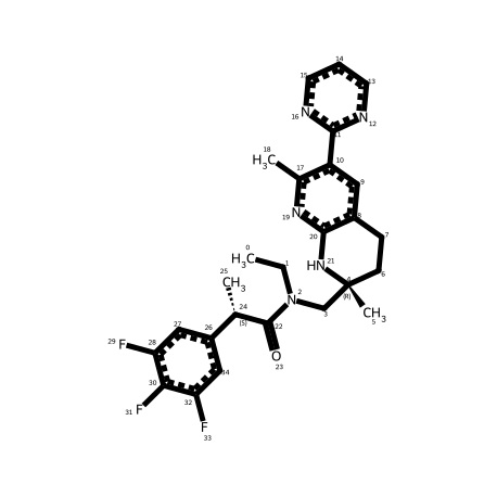 CCN(C[C@@]1(C)CCc2cc(-c3ncccn3)c(C)nc2N1)C(=O)[C@@H](C)c1cc(F)c(F)c(F)c1